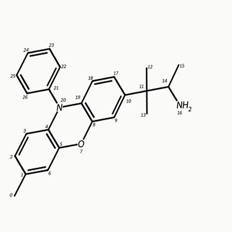 Cc1ccc2c(c1)Oc1cc(C(C)(C)C(C)N)ccc1N2c1ccccc1